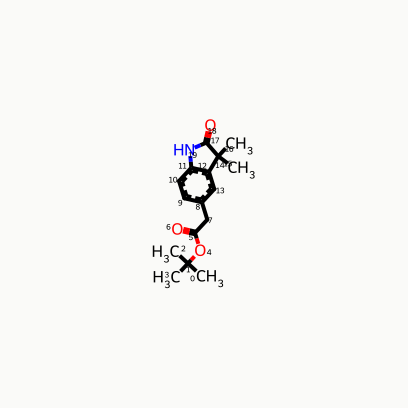 CC(C)(C)OC(=O)Cc1ccc2c(c1)C(C)(C)C(=O)N2